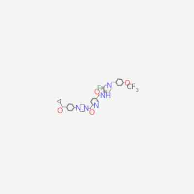 O=C(N[C@@H]1CCN(Cc2ccc(OC(F)(F)F)cc2)C[C@H]1F)c1ccc(C(=O)N2CCN(c3ccc(C(=O)C4CC4)cc3)CC2)nc1